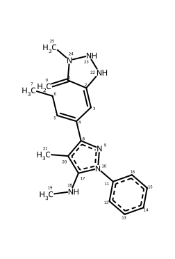 C=C1/C(=C\C(=C/CC)c2nn(-c3ccccc3)c(NC)c2C)NNN1C